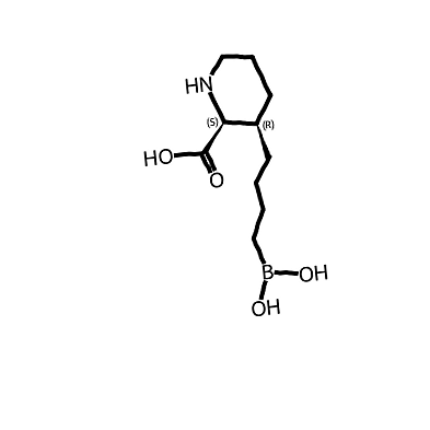 O=C(O)[C@H]1NCCC[C@H]1CCCCB(O)O